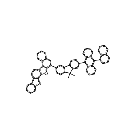 CC1(C)c2ccc(-c3cc4ccccc4c4c3oc3c4ccc4c5ccccc5sc43)cc2-c2ccc(-c3c4ccccc4c(-c4cccc5ccccc45)c4ccccc34)cc21